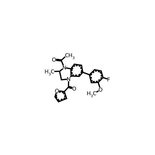 COc1cc(-c2ccc3c(c2)N(C(=O)c2ccco2)CC(C)N3C(C)=O)ccc1F